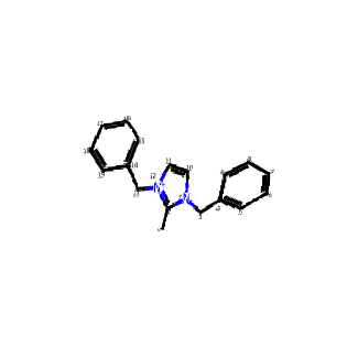 Cc1n(Cc2ccccc2)cc[n+]1Cc1ccccc1